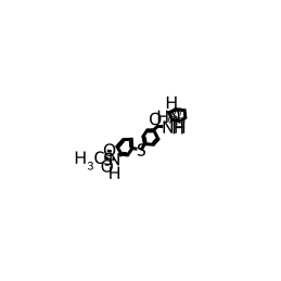 CS(=O)(=O)Nc1cccc(Sc2ccc(C(=O)N[C@@H]3C[C@H]4CC[C@@H]3N4)cc2)c1